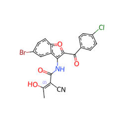 C/C(O)=C(\C#N)C(=O)Nc1c(C(=O)c2ccc(Cl)cc2)oc2ccc(Br)cc12